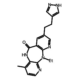 CCN1c2ncc(CCc3cn[nH]c3)cc2C(=O)Nc2c(C)ccnc21